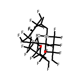 CC(C)[CH2][Sn]([O][Sn]([CH2]C(C)C)([C](F)(F)C(F)(F)C(F)(F)CF)[C](F)(F)C(F)(F)C(F)(F)CF)([C](F)(F)C(F)(F)C(F)(F)CF)[C](F)(F)C(F)(F)C(F)(F)CF